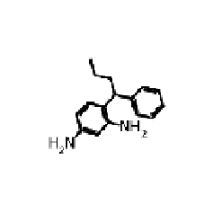 CCCC(c1ccccc1)c1ccc(N)cc1N